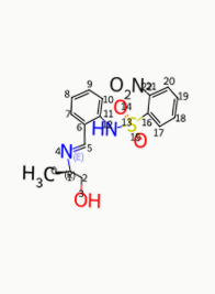 C[C@H](CO)/N=C/c1ccccc1NS(=O)(=O)c1ccccc1[N+](=O)[O-]